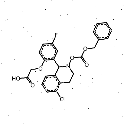 O=C(O)COc1ccc(F)cc1C1c2cccc(Cl)c2CCN1OC(=O)OCc1ccccc1